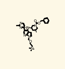 Cc1nccc(-c2cnc3c(ccn3COCC[Si](C)(C)C)c2N[C@@H]2C[C@H](C)CN(C(=O)OCc3ccccc3)C2)n1